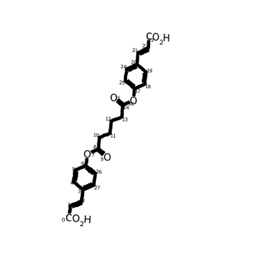 O=C(O)/C=C/c1ccc(OC(=O)CCCCC(=O)Oc2ccc(/C=C/C(=O)O)cc2)cc1